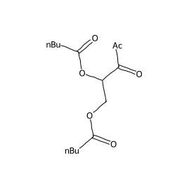 CCCCC(=O)OCC(OC(=O)CCCC)C(=O)C(C)=O